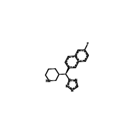 Fc1ccc2cc([C@H](C3CCCNC3)n3ncnn3)ccc2c1